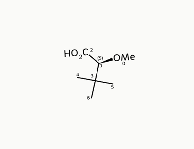 CO[C@H](C(=O)O)C(C)(C)C